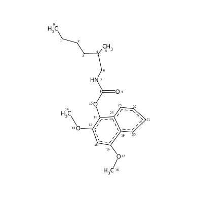 CCCCC(C)CNC(=O)Oc1c(OC)cc(OC)c2ccccc12